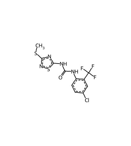 CSc1nsc(NC(=O)Nc2ccc(Cl)cc2C(F)(F)F)n1